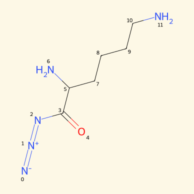 [N-]=[N+]=NC(=O)C(N)CCCCN